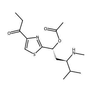 CCC(=O)c1csc([C@@H](C[C@@H](NC)C(C)C)OC(C)=O)n1